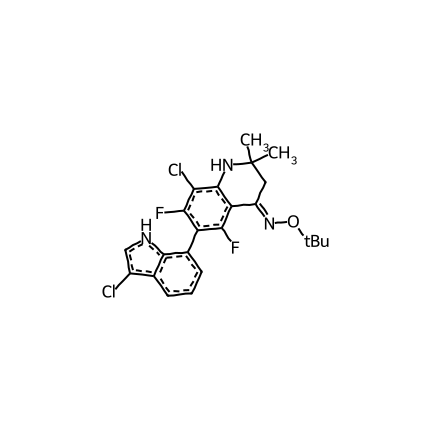 CC1(C)C/C(=N\OC(C)(C)C)c2c(F)c(-c3cccc4c(Cl)c[nH]c34)c(F)c(Cl)c2N1